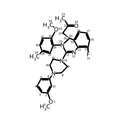 COc1cccc(N2CCN(C3=Nc4c(F)cccc4[C@H](CC(C)=O)N3c3cc(C)ccc3OC)CC2)c1